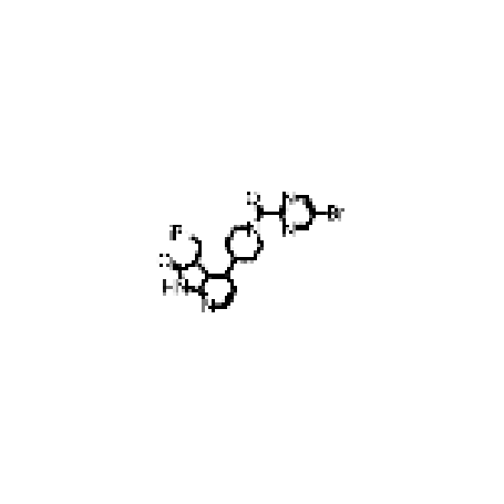 CC(C)CC1C(=O)Nc2nccc(C3CCN(C(=O)c4ncc(Br)cn4)CC3)c21